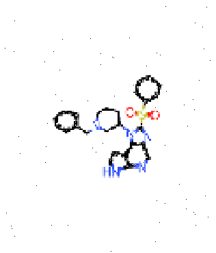 O=S(=O)(c1ccccc1)c1nc2cnc3[nH]ccc3c2n1C1CCCN(Cc2ccccc2)C1